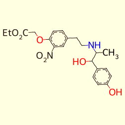 CCOC(=O)COc1ccc(CCNC(C)C(O)c2ccc(O)cc2)cc1[N+](=O)[O-]